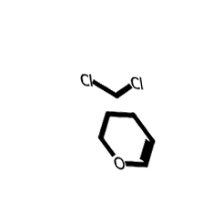 C1=COCCC1.ClCCl